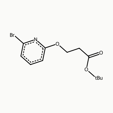 CC(C)(C)OC(=O)CCOc1cccc(Br)n1